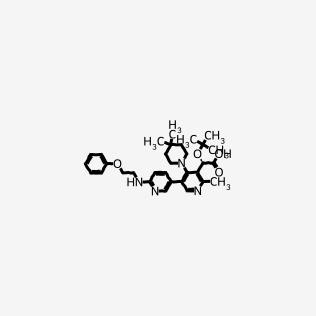 Cc1ncc(-c2ccc(NCCOc3ccccc3)nc2)c(N2CCC(C)(C)CC2)c1[C@H](OC(C)(C)C)C(=O)O